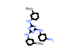 COc1cccc(Nc2nc(Nc3cccc(N)c3)nc(Nc3cccc(OC)c3)n2)c1